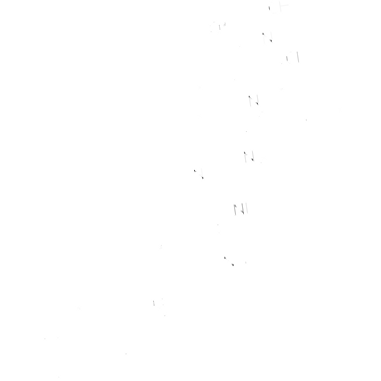 CN(C)C(=O)c1cc2cnc(Nc3ccc(OCc4ccccc4)cn3)nc2n1C1CCCC1